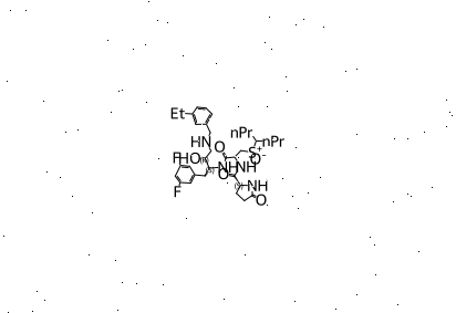 CCCC(CCC)[S+]([O-])CC(NC(=O)[C@@H]1CCC(=O)N1)C(=O)N[C@@H](Cc1cc(F)cc(F)c1)[C@H](O)CNCc1cccc(CC)c1